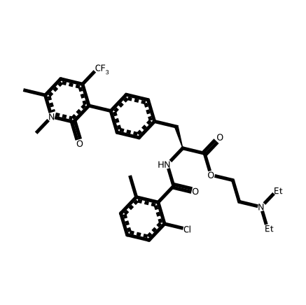 CCN(CC)CCOC(=O)[C@H](Cc1ccc(-c2c(C(F)(F)F)cc(C)n(C)c2=O)cc1)NC(=O)c1c(C)cccc1Cl